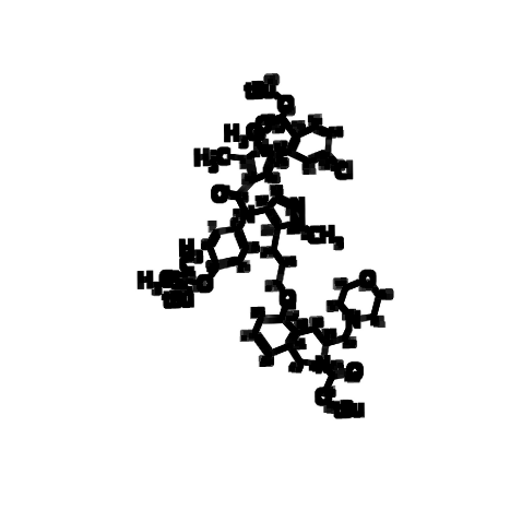 Cc1c(C(=O)N(c2ccc(O[Si](C)(C)C(C)(C)C)cc2)c2cnn(C)c2CCCOc2cccc3c2CC(CN2CCOCC2)N(C(=O)OC(C)(C)C)C3)cc(-c2cc(Cl)ccc2C(=O)OC(C)(C)C)n1C